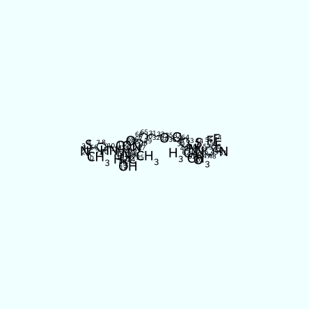 Cc1ncsc1-c1ccc(CNC(=O)[C@@H]2C[C@@H](O)CN2C(=O)C(C(C)C)N2Cc3cc(CCCOCCOc4ccc(N5C(=S)N(c6ccc(C#N)c(C(F)(F)F)c6)C(=O)C5(C)C)cc4)ccc3C2=O)cc1